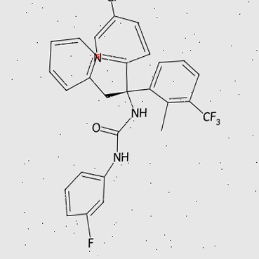 Cc1c(C(F)(F)F)cccc1[C@](Cc1ccccc1)(NC(=O)Nc1cccc(F)c1)c1ccc(Cl)cn1